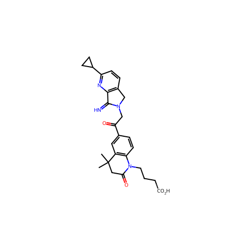 CC1(C)CC(=O)N(CCCC(=O)O)c2ccc(C(=O)CN3Cc4ccc(C5CC5)nc4C3=N)cc21